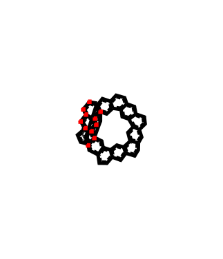 c1cc2cc3ccc4cc5ccc6cc7ccc8cc9ccc%10cc%11ccc%12cc%13ccc%14cc%15ccc%16cc1c1cc%16c%15cc%14c%13cc%12c%11cc%10c9cc8c7cc6c5cc4c3cc21